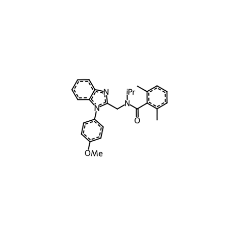 COc1ccc(-n2c(CN(C(=O)c3c(C)cccc3C)C(C)C)nc3ccccc32)cc1